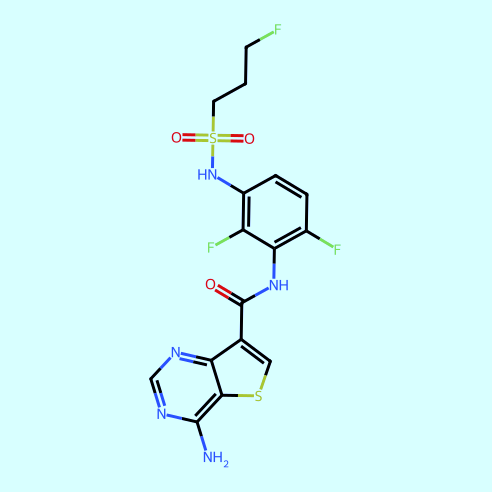 Nc1ncnc2c(C(=O)Nc3c(F)ccc(NS(=O)(=O)CCCF)c3F)csc12